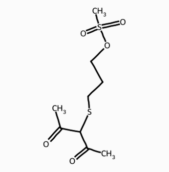 CC(=O)C(SCCCOS(C)(=O)=O)C(C)=O